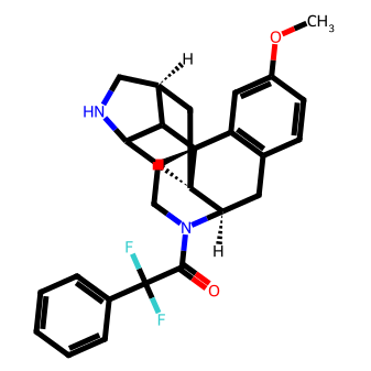 COc1ccc2c(c1)[C@]13CCN(C(=O)C(F)(F)c4ccccc4)[C@H](C2)[C@]12CCC1NC[C@@H](C2)C13